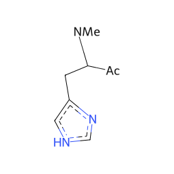 CNC(Cc1c[nH]cn1)C(C)=O